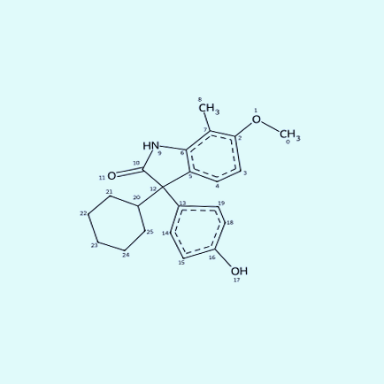 COc1ccc2c(c1C)NC(=O)C2(c1ccc(O)cc1)C1CCCCC1